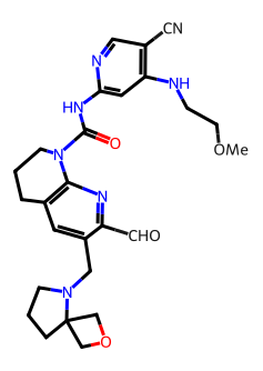 COCCNc1cc(NC(=O)N2CCCc3cc(CN4CCCC45COC5)c(C=O)nc32)ncc1C#N